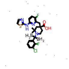 BC(B)(c1cccc(Cl)c1F)N1CCC(Cc2nc(Nc3nccs3)ccc2F)(C(=O)O)CC1(C)C